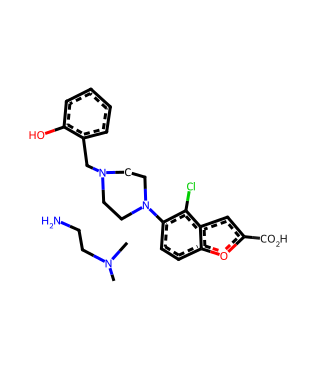 CN(C)CCN.O=C(O)c1cc2c(Cl)c(N3CCN(Cc4ccccc4O)CC3)ccc2o1